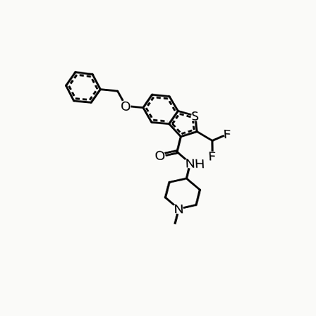 CN1CCC(NC(=O)c2c(C(F)F)sc3ccc(OCc4ccccc4)cc23)CC1